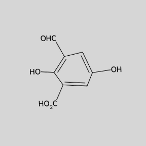 O=Cc1cc(O)cc(C(=O)O)c1O